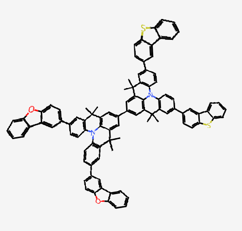 CC1(C)c2cc(-c3ccc4oc5ccccc5c4c3)ccc2N2c3ccc(-c4ccc5oc6ccccc6c5c4)cc3C(C)(C)c3cc(-c4cc5c6c(c4)C(C)(C)c4cc(-c7ccc8sc9ccccc9c8c7)ccc4N6c4ccc(-c6ccc7sc8ccccc8c7c6)cc4C5(C)C)cc1c32